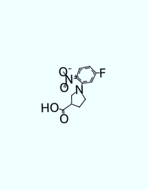 O=C(O)C1CCN(c2cc(F)ccc2[N+](=O)[O-])C1